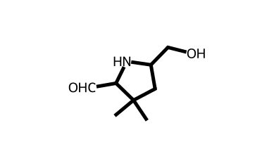 CC1(C)CC(CO)NC1C=O